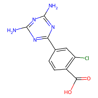 Nc1nc(N)nc(-c2ccc(C(=O)O)c(Cl)c2)n1